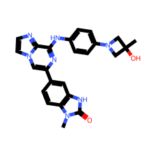 Cn1c(=O)[nH]c2cc(-c3cn4ccnc4c(Nc4ccc(N5CC(C)(O)C5)cc4)n3)ccc21